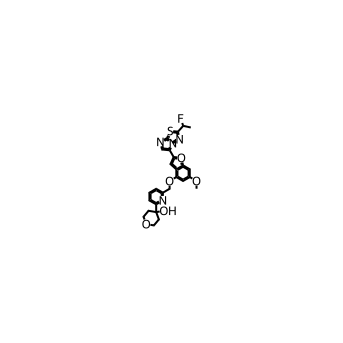 COc1cc(OCc2cccc(C3(O)CCOCC3)n2)c2cc(-c3cnc4sc(C(C)F)nn34)oc2c1